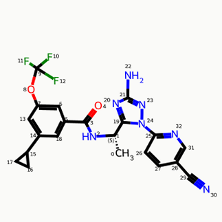 C[C@H](NC(=O)c1cc(OC(F)(F)F)cc(C2CC2)c1)c1nc(N)nn1-c1ccc(C#N)cn1